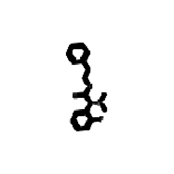 CN(C)[C@@H](C(=O)OCCc1ccccc1)c1ccccc1F